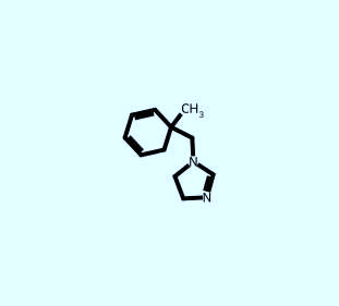 CC1(CN2C=NCC2)C=CC=CC1